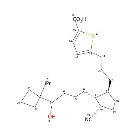 CC(C)C1(C(O)CCC[C@@H]2[C@@H](CCCc3ccc(C(=O)O)s3)CC[C@@H]2C#N)CCC1